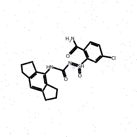 NC(=O)c1ccc(Cl)cc1/[SH](=O)=N/C(=O)Nc1c2c(cc3c1CCC3)CCC2